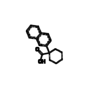 O=C(O)C1(c2ccc3ccccc3c2)CCCCC1